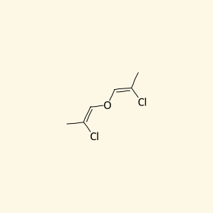 CC(Cl)=COC=C(C)Cl